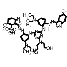 CCN(CC)c1ccc(/N=N/c2snc3ccc(C)cc23)c(Nc2nc(Nc3cc(N(CC)CC)ccc3/N=N/c3snc4ccc(OC)c(S(=O)(=O)O)c34)nc(N(CCO)CCO)n2)c1